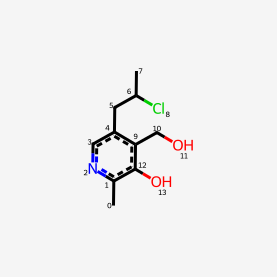 Cc1ncc(CC(C)Cl)c(CO)c1O